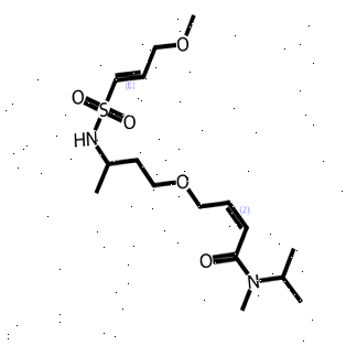 COC/C=C/S(=O)(=O)NC(C)CCOC/C=C\C(=O)N(C)C(C)C